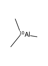 [CH3][10Al]([CH3])[CH3]